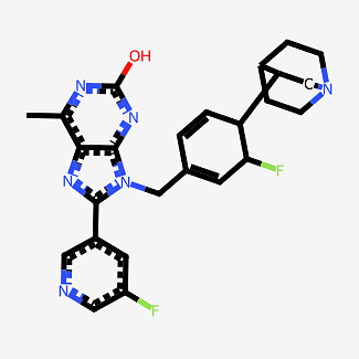 Cc1nc(O)nc2c1nc(-c1cncc(F)c1)n2CC1=CC(F)C(C2CN3CCC2CC3)C=C1